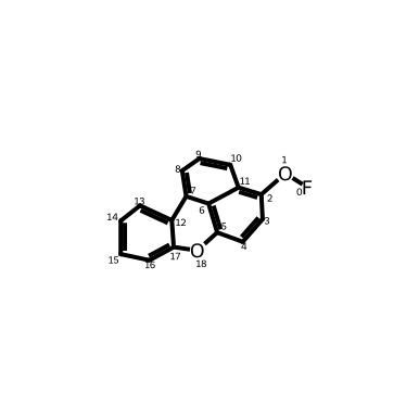 FOc1ccc2c3c(cccc13)-c1ccccc1O2